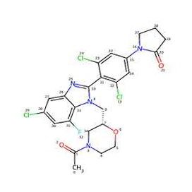 CC(=O)N1CCO[C@@H](Cn2c(-c3c(Cl)cc(N4CCCC4=O)cc3Cl)nc3cc(Cl)cc(F)c32)C1